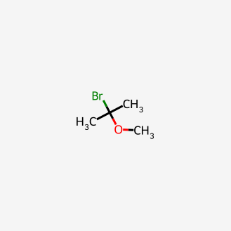 COC(C)(C)Br